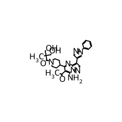 CC(=O)c1c(C2CCN(C(=O)C(C)(CO)CO)CC2)nc2c(-c3cnn(-c4ccccc4)c3)cnn2c1N